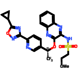 COCCS(=O)(=O)Nc1nc2ccccc2nc1O[C@@H](c1ccc(-c2noc(C3CC3)n2)nc1)C(F)(F)F